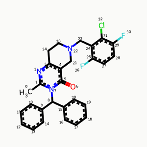 Cc1nc2c(c(=O)n1C(c1ccccc1)c1ccccc1)CN(Cc1c(F)ccc(F)c1Cl)CC2